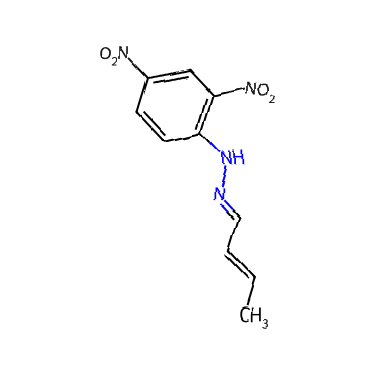 CC=CC=NNc1ccc([N+](=O)[O-])cc1[N+](=O)[O-]